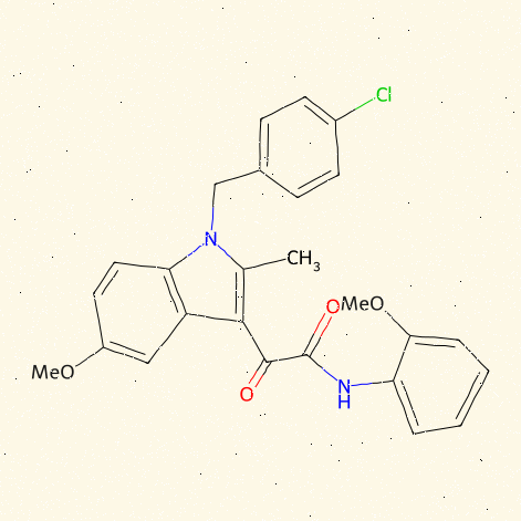 COc1ccc2c(c1)c(C(=O)C(=O)Nc1ccccc1OC)c(C)n2Cc1ccc(Cl)cc1